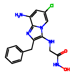 Nc1cc(Cl)cn2c(NCC(=O)NO)c(Cc3ccccc3)nc12